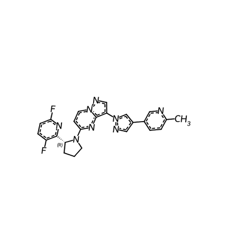 Cc1ccc(-c2cnn(-c3cnn4ccc(N5CCC[C@@H]5c5nc(F)ccc5F)nc34)c2)cn1